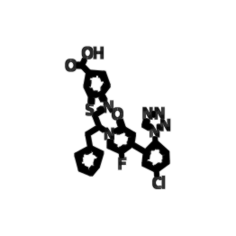 O=C(O)c1ccc2nc(C(Cc3ccccc3)n3cc(F)c(-c4cc(Cl)ccc4-n4cnnn4)cc3=O)sc2c1